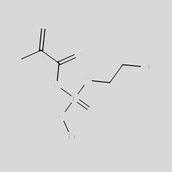 C=C(C)C(=O)OP(=O)(OCC)OCCO